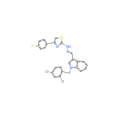 Fc1ccc(-c2csc(NN=Cc3cn(Cc4ccc(Cl)cc4Cl)c4ccccc34)n2)cc1